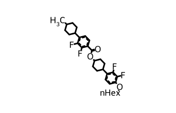 CCCCCCOc1ccc(C2CCC(OC(=O)c3ccc(C4CCC(C)CC4)c(F)c3F)CC2)c(F)c1F